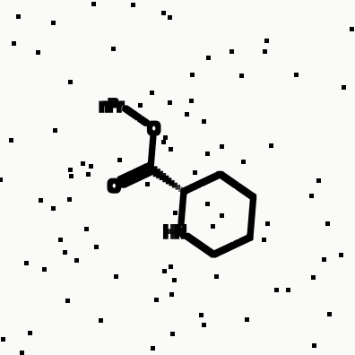 CCCOC(=O)[C@@H]1CCCCN1